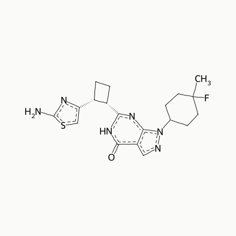 CC1(F)CCC(n2ncc3c(=O)[nH]c([C@H]4CC[C@H]4c4csc(N)n4)nc32)CC1